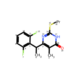 Cc1c(C(C)c2c(F)cccc2F)nc(SC(C)C)[nH]c1=O